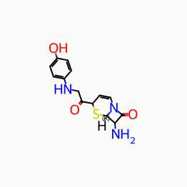 NC1C(=O)N2C=CC(C(=O)CNc3ccc(O)cc3)S[C@H]12